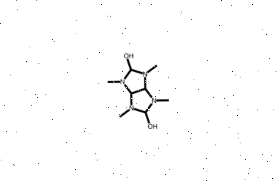 CN1C(O)N(C)C2C1N(C)C(O)N2C